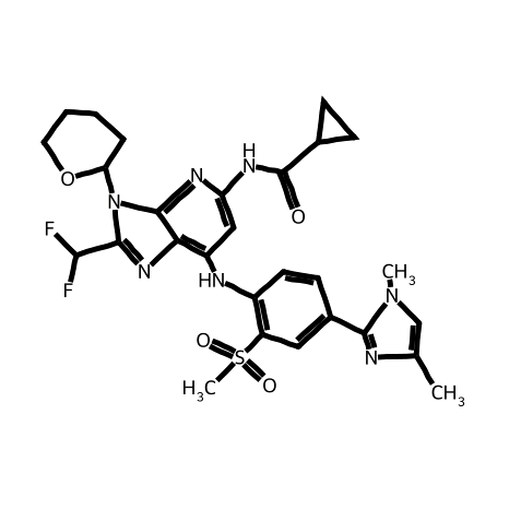 Cc1cn(C)c(-c2ccc(Nc3cc(NC(=O)C4CC4)nc4c3nc(C(F)F)n4C3CCCCO3)c(S(C)(=O)=O)c2)n1